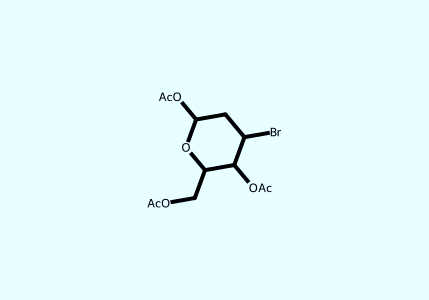 CC(=O)OCC1OC(OC(C)=O)CC(Br)C1OC(C)=O